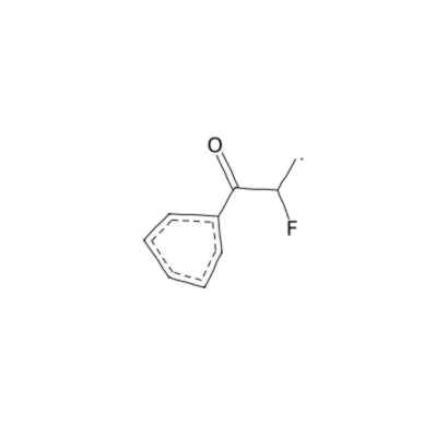 [CH2]C(F)C(=O)c1ccccc1